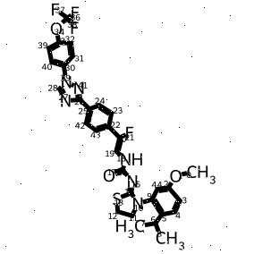 COc1ccc(C(C)C)c(N2CCS/C2=N\C(=O)N/C=C(\F)c2ccc(-c3ncn(-c4ccc(OC(F)(F)F)cc4)n3)cc2)c1